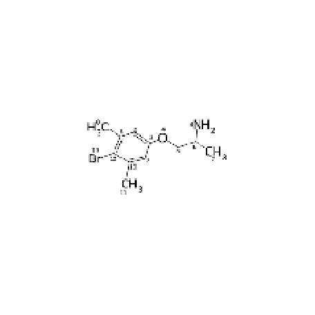 Cc1cc(OCC(C)N)cc(C)c1Br